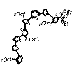 CCCCCCCCc1ccsc1-c1ccc(-c2ccc(-c3sc(-c4cc(CCCCCCCC)c(-c5ccc(-c6ccc(-c7sc([Si](OCC)(OCC)OCC)cc7CCCCCCCC)s6)s5)s4)cc3CCCCCCCC)s2)s1